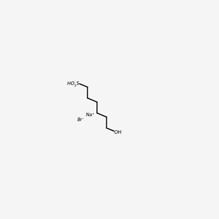 O=S(=O)(O)CCCCCCO.[Br-].[Na+]